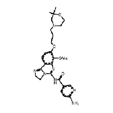 COc1c(OCCCN2CCOC(C)(C)C2)ccc2c1N=C(NC(=O)c1ccc(N)nc1)N1CCN=C21